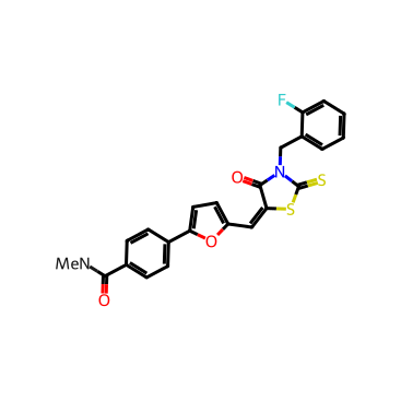 CNC(=O)c1ccc(-c2ccc(/C=C3/SC(=S)N(Cc4ccccc4F)C3=O)o2)cc1